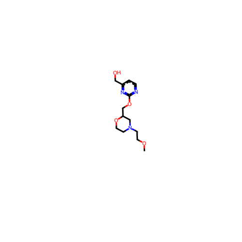 COCCN1CCOC(COc2nccc(CO)n2)C1